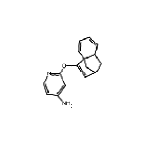 Nc1ccnc(OC2=CC3CC4C=CC=CC24C3)c1